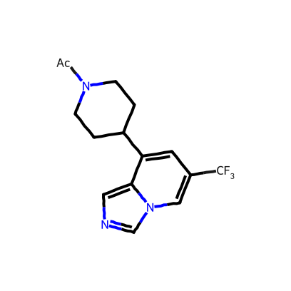 CC(=O)N1CCC(c2cc(C(F)(F)F)cn3cncc23)CC1